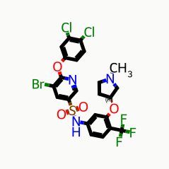 CN1CC[C@@H](Oc2cc(NS(=O)(=O)c3cnc(Oc4ccc(Cl)c(Cl)c4)c(Br)c3)ccc2C(F)(F)F)C1